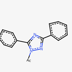 CC(=O)n1nc(-c2ccccc2)nc1-c1ccccc1